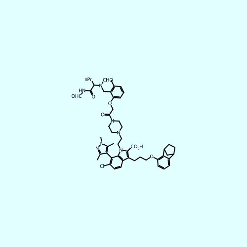 CCCC(C(=O)NC=O)N(C=O)Cc1c(C)cccc1OCC(=O)N1CCN(CCn2c(C(=O)O)c(CCCOc3cccc4c3C3CCC4C3)c3ccc(Cl)c(-c4c(C)nn(C)c4C)c32)CC1